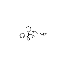 O=C(c1ccccc1)N1C(=O)N(CCCCBr)C2CCCCC21